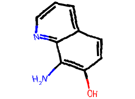 Nc1c(O)ccc2cccnc12